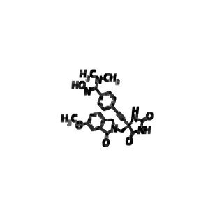 COc1ccc2c(c1)C(=O)N(C[C@@]1(C#Cc3ccc(C(=NO)N(C)C)cc3)NC(=O)NC1=O)C2